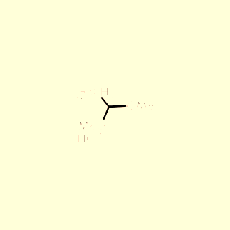 COC(C)OC.Cl.[Zn]